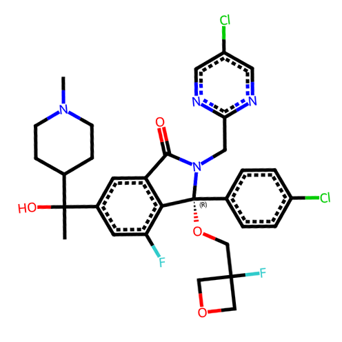 CN1CCC(C(C)(O)c2cc(F)c3c(c2)C(=O)N(Cc2ncc(Cl)cn2)[C@@]3(OCC2(F)COC2)c2ccc(Cl)cc2)CC1